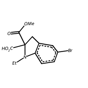 CCN1c2ccc(Br)cc2CC1(C(=O)O)C(=O)OC